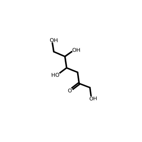 O=C(CO)CC(O)C(O)CO